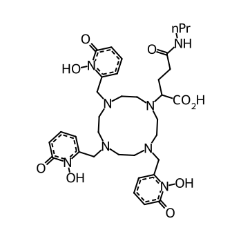 CCCNC(=O)CCC(C(=O)O)N1CCN(Cc2cccc(=O)n2O)CCN(Cc2cccc(=O)n2O)CCN(Cc2cccc(=O)n2O)CC1